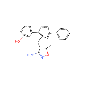 Cc1onc(N)c1Cc1cc(-c2ccccc2)ccc1-c1cccc(O)c1